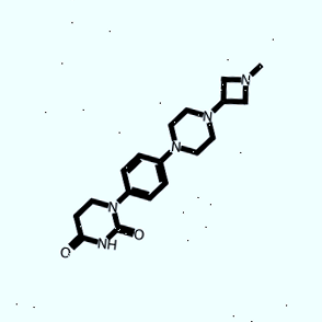 CN1CC(N2CCN(c3ccc(N4CCC(=O)NC4=O)cc3)CC2)C1